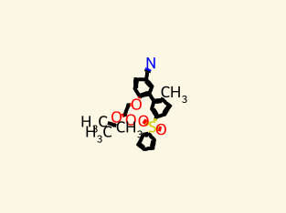 Cc1ccc(S(=O)(=O)c2ccccc2)cc1-c1cc(C#N)ccc1OCC(=O)OC(C)(C)C